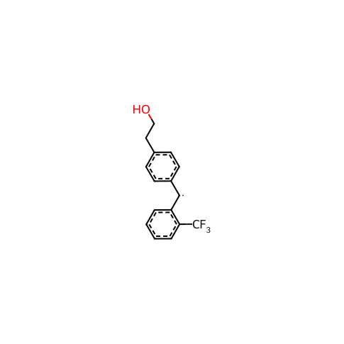 OCCc1ccc([CH]c2ccccc2C(F)(F)F)cc1